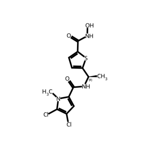 C[C@@H](NC(=O)c1cc(Cl)c(Cl)n1C)c1ccc(C(=O)NO)s1